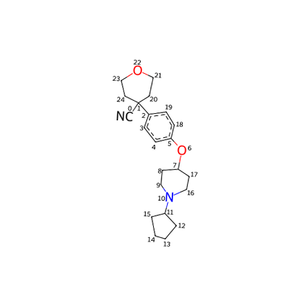 N#CC1(c2ccc(OC3CCN(C4CCCC4)CC3)cc2)CCOCC1